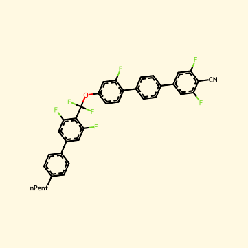 CCCCCc1ccc(-c2cc(F)c(C(F)(F)Oc3ccc(-c4ccc(-c5cc(F)c(C#N)c(F)c5)cc4)c(F)c3)c(F)c2)cc1